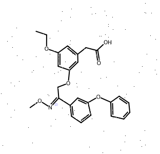 CCOc1cc(CC(=O)O)cc(OC/C(=N\OC)c2cccc(Oc3ccccc3)c2)c1